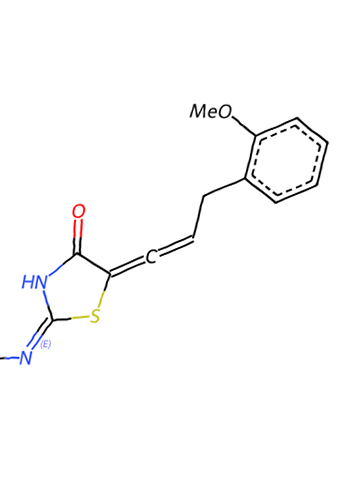 COc1ccccc1CC=C=C1S/C(=N/C#N)NC1=O